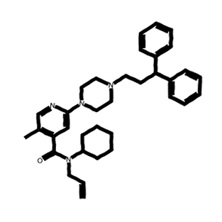 C=CCN(C(=O)c1cc(N2CCN(CCC(c3ccccc3)c3ccccc3)CC2)ncc1C)C1CCCCC1